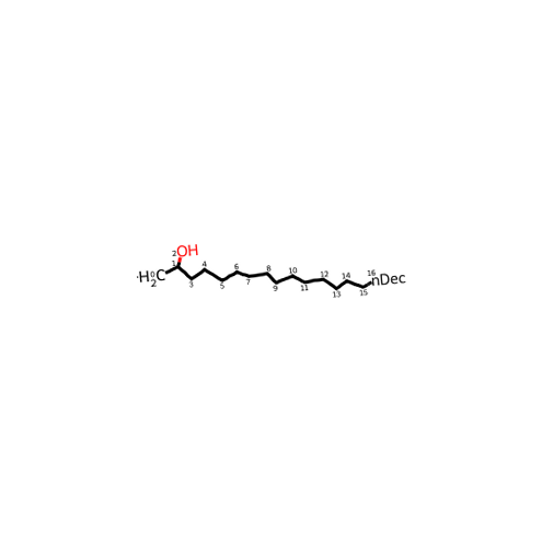 [CH2]C(O)CCCCCCCCCCCCCCCCCCCCCCC